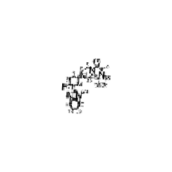 CC(C(=O)N1CCN(c2ccc(F)c(-c3nc4ccccc4n3C)c2)CC1)N1CCCC1